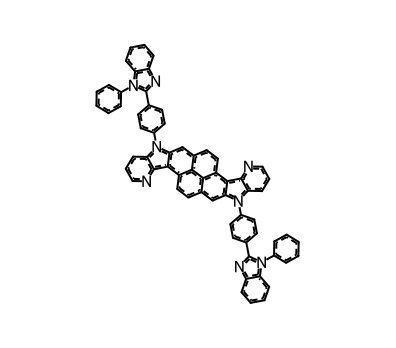 c1ccc(-n2c(-c3ccc(-n4c5cccnc5c5c6ccc7cc8c(c9ccc(cc54)c6c79)c4ncccc4n8-c4ccc(-c5nc6ccccc6n5-c5ccccc5)cc4)cc3)nc3ccccc32)cc1